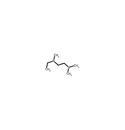 C[CH]N(C)CCN(C)C